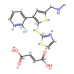 CNCc1cc(-c2cccnc2F)c(Sc2nccs2)s1.O=C(O)/C=C/C(=O)O